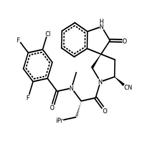 CC(C)C[C@@H](C(=O)N1C[C@]2(C[C@H]1C#N)C(=O)Nc1ccccc12)N(C)C(=O)c1cc(Cl)c(F)cc1F